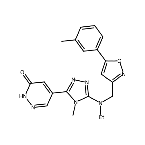 CCN(Cc1cc(-c2cccc(C)c2)on1)c1nnc(-c2cn[nH]c(=O)c2)n1C